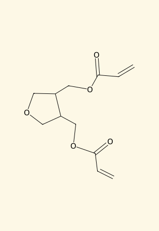 C=CC(=O)OCC1COCC1COC(=O)C=C